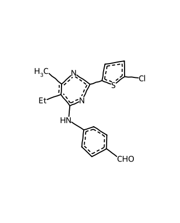 CCc1c(C)nc(-c2ccc(Cl)s2)nc1Nc1ccc(C=O)cc1